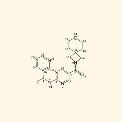 CC(Nc1ncc(C(=O)N2CC3(CCOCC3)C2)cn1)c1cncnc1